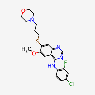 COc1cc2c(Nc3ccc(Cl)cc3F)ncnc2cc1SCCCN1CCOCC1